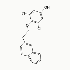 Oc1cc(Cl)c(OCCc2ccc3ccccc3c2)c(Cl)c1